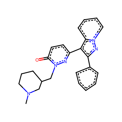 CN1CCCC(Cn2nc(-c3c(-c4ccccc4)nn4ccccc34)ccc2=O)C1